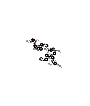 CC[C@@H](c1ccccc1)N1CCc2cc(C(N)=O)ccc21.COc1ccc([C@H](C)NC(=O)c2ccc3c(c2)C(=C(Nc2ccc(CN4CCCCC4)cc2)c2ccccc2)C(=O)N3)cc1.COc1cccc([C@H](C)NC(=O)c2ccc3c(c2)C(=C(Nc2ccc(CN4CCCCC4)cc2)c2ccccc2)C(=O)N3)c1